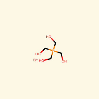 OC[P+](CO)(CO)CO.[Br-]